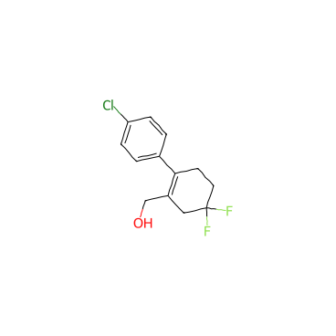 OCC1=C(c2ccc(Cl)cc2)CCC(F)(F)C1